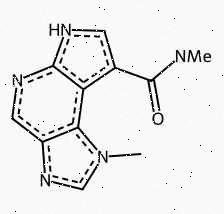 CNC(=O)c1c[nH]c2ncc3ncn(C)c3c12